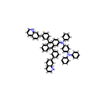 c1ccc(N(c2ccccc2)c2ccc(N(c3ccccc3)c3ccc4c(-c5cccc(-c6ccc7cccnc7c6)c5)c5ccccc5c(-c5cccc(-c6ccc7cccnc7c6)c5)c4c3)cc2)cc1